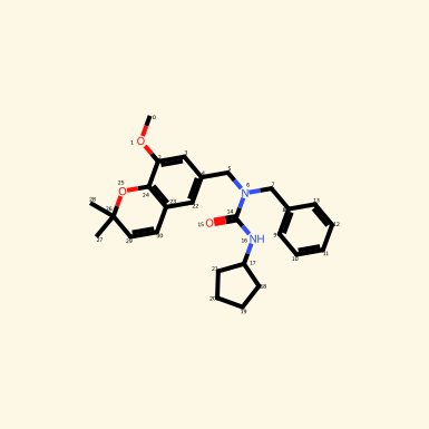 COc1cc(CN(Cc2ccccc2)C(=O)NC2CCCC2)cc2c1OC(C)(C)C=C2